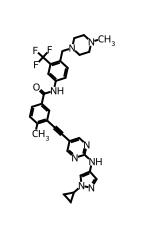 Cc1ccc(C(=O)Nc2ccc(CN3CCN(C)CC3)c(C(F)(F)F)c2)cc1C#Cc1cnc(Nc2cnn(C3CC3)c2)nc1